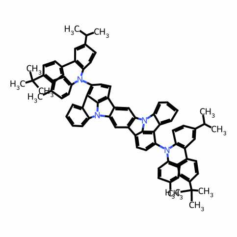 Cc1ccc(N(c2ccc(C(C)C)cc2-c2ccc(C(C)(C)C)cc2)c2ccc3c4cc5c(cc4n4c6ccccc6c2c34)c2ccc(N(c3ccc(C)cc3)c3ccc(C(C)C)cc3-c3ccc(C(C)(C)C)cc3)c3c4ccccc4n5c23)cc1